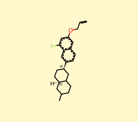 C=CCOc1cc(F)c2cc([C@@H]3CC[C@@H]4CC(C)CCC4C3)ccc2c1